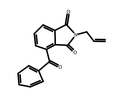 C=CCN1C(=O)c2cccc(C(=O)c3ccccc3)c2C1=O